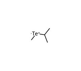 C[Te+]C(C)C